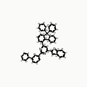 c1ccc(-c2cccc(-c3nc(-c4cc5ccccc5o4)cc(-c4cccc5c4-c4ccccc4C5(c4ccccc4)c4ccccc4)n3)c2)cc1